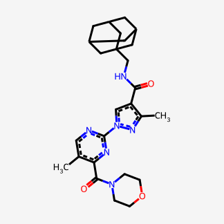 Cc1cnc(-n2cc(C(=O)NCC34CC5CC(CC(C5)C3)C4)c(C)n2)nc1C(=O)N1CCOCC1